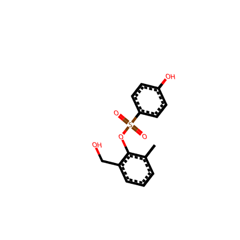 Cc1cccc(CO)c1OS(=O)(=O)c1ccc(O)cc1